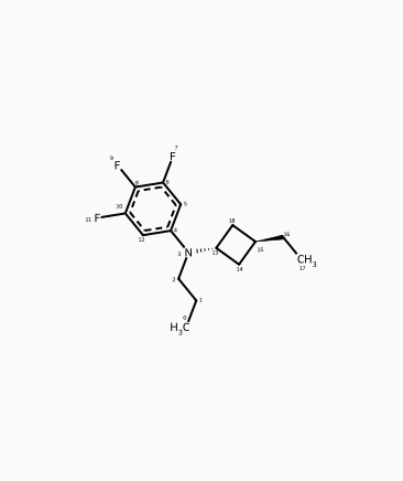 CCCN(c1cc(F)c(F)c(F)c1)[C@H]1C[C@H](CC)C1